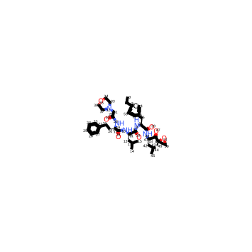 CCc1ccc(C[C@H](NC(=O)[C@H](CC(C)C)NC(=O)[C@H](CCc2ccccc2)NC(=O)CN2CCOCC2)C(=O)N[C@@H](CC(C)C)C(=O)[C@@]2(C)CO2)cc1